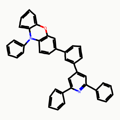 c1ccc(-c2cc(-c3cccc(-c4ccc5c(c4)Oc4ccccc4N5c4ccccc4)c3)cc(-c3ccccc3)n2)cc1